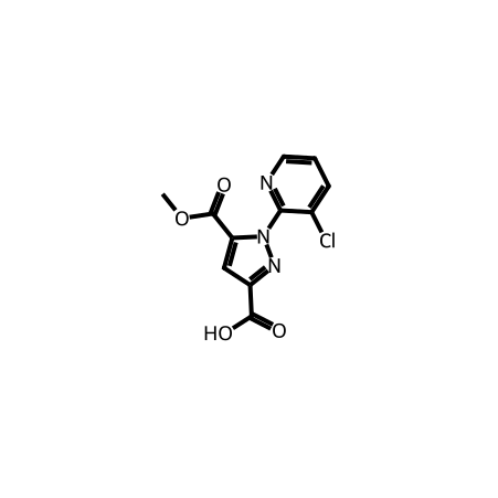 COC(=O)c1cc(C(=O)O)nn1-c1ncccc1Cl